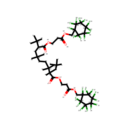 CC(C)(C)CC(C)(C(=O)OCCC(=O)OCC1(F)C(F)(F)C(F)(F)C(F)(F)C(F)(F)C1(F)F)C(C)(C)CCC(C)(C)CC(C(=O)OCCC(=O)OCC1(F)C(F)(F)C(F)(F)C(F)(F)C(F)(F)C1(F)F)C(C)(C)C